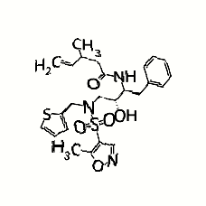 C=CC(C)CC(=O)N[C@@H](Cc1ccccc1)[C@H](O)CN(Cc1cccs1)S(=O)(=O)c1cnoc1C